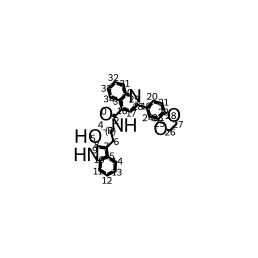 O=C(N[C@@H](CO)Cc1c[nH]c2ccccc12)c1cc(-c2ccc3c(c2)OCCO3)nc2ccccc12